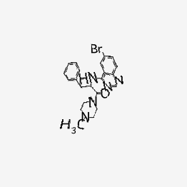 CN1CCN(C(=O)C(Cc2ccccc2)Nc2ncnc3ccc(Br)cc23)CC1